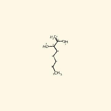 C=C(O)C(O)CCCCC